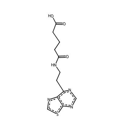 O=C(O)CCCC(=O)NCCc1ncnc2scnc12